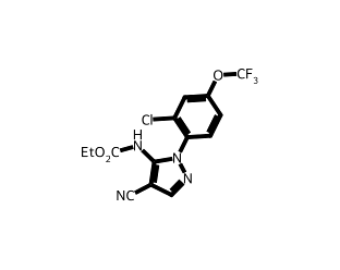 CCOC(=O)Nc1c(C#N)cnn1-c1ccc(OC(F)(F)F)cc1Cl